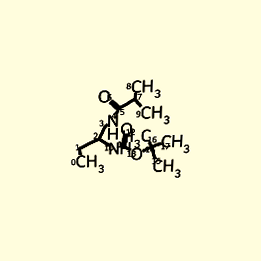 CCC(CNC(=O)C(C)C)NC(=O)OC(C)(C)C